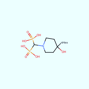 CCCCCCC1(O)CCN(C(P(=O)(O)O)P(=O)(O)O)CC1